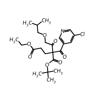 CCOC(=O)CCC(C(=O)COCC(C)C)(C(=O)OC(C)(C)C)C(=O)c1cncc(Cl)c1